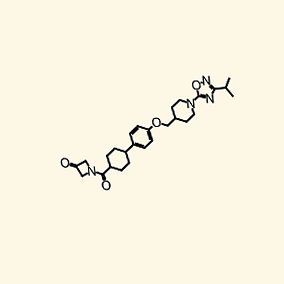 CC(C)c1noc(N2CCC(COc3ccc(C4CCC(C(=O)N5CC(=O)C5)CC4)cc3)CC2)n1